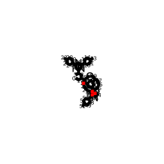 C=CC(=C\C(=C)c1nc(-c2ccc(C)cc2)nc(C2C=CC(C)=CC2)n1)/C1=C/C=C\CC(C)(C)/C=C/C=C\C(C2=CC(c3ncnc(-c4ccc(C)cc4)n3)=CC(C)C2)=C\OC1